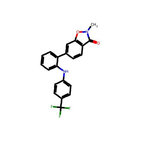 Cn1oc2cc(-c3ccccc3Nc3ccc(C(F)(F)F)cc3)ccc2c1=O